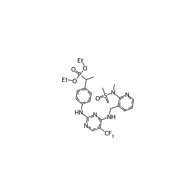 C=S(C)(=O)N(C)c1ncccc1CNc1nc(Nc2ccc(C(C)P(=O)(OCC)OCC)cc2)ncc1C(F)(F)F